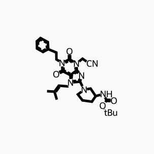 CC(C)=CCn1c(N2CCCC(NC(=O)OC(C)(C)C)C2)nc2c1c(=O)n(CCc1ccccc1)c(=O)n2CC#N